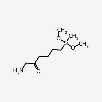 CO[Si](C)(CCCCC(=O)CN)OC